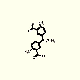 N.N.Nc1ccc(Cc2ccc(N)c(C(=O)O)c2)cc1C(=O)O